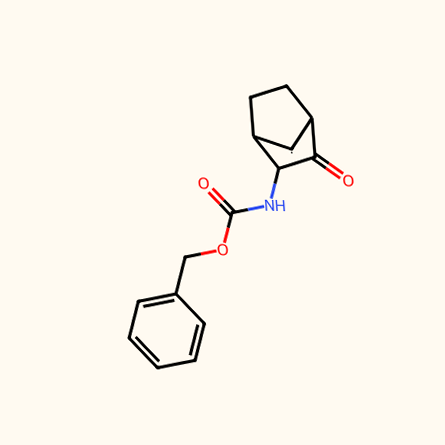 O=C(NC1C(=O)C2[CH]C1CC2)OCc1ccccc1